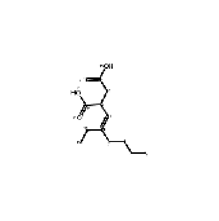 CCCCC(=CC(CC(=O)O)C(=O)O)CC